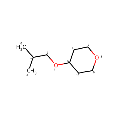 CC(C)COC1CCOCC1